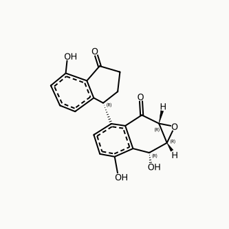 O=C1CC[C@H](c2ccc(O)c3c2C(=O)[C@@H]2O[C@@H]2[C@@H]3O)c2cccc(O)c21